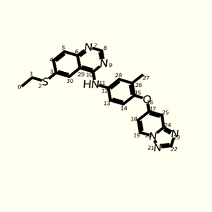 CCSc1ccc2ncnc(Nc3ccc(Oc4ccn5ncnc5c4)c(C)c3)c2c1